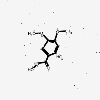 COc1ccc(C(=O)NO)cc1OC.Cl